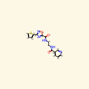 O=C(NCCNC(=O)c1nc(-c2cccs2)no1)c1cccnc1